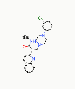 CC(C)(C)NC(=O)C(CN1CCN(c2cccc(Cl)c2)CC1)c1ccc2ccccc2n1